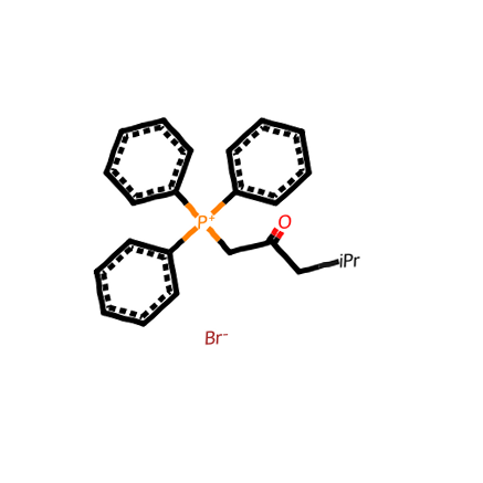 CC(C)CC(=O)C[P+](c1ccccc1)(c1ccccc1)c1ccccc1.[Br-]